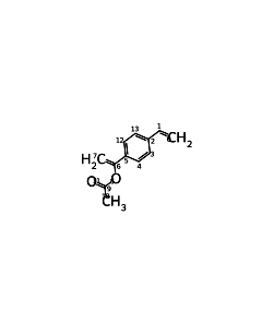 C=Cc1ccc(C(=C)OC(C)=O)cc1